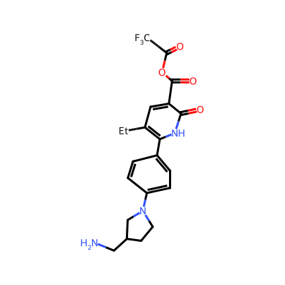 CCc1cc(C(=O)OC(=O)C(F)(F)F)c(=O)[nH]c1-c1ccc(N2CCC(CN)C2)cc1